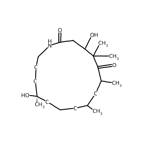 CC1CCC[C@@](C)(O)CCCNC(=O)CC(O)C(C)(C)C(=O)C(C)C1